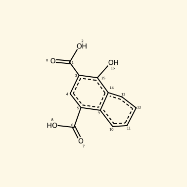 O=C(O)c1cc(C(=O)O)c2ccccc2c1O